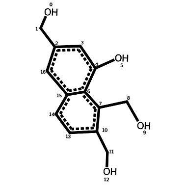 OCc1cc(O)c2c(CO)c(CO)ccc2c1